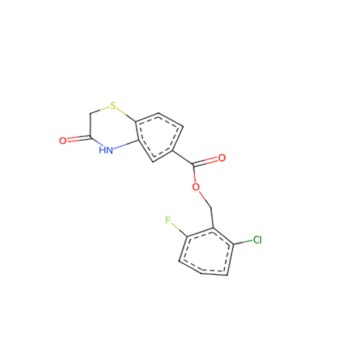 O=C1CSc2ccc(C(=O)OCc3c(F)cccc3Cl)cc2N1